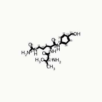 CC(C)[C@@H](N)C(=O)NC(CCCNC(N)=O)C(=O)Nc1ccc(CO)cc1